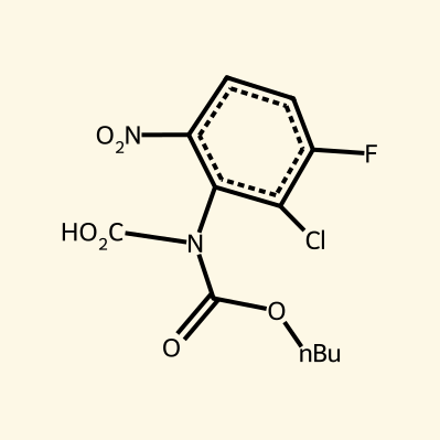 CCCCOC(=O)N(C(=O)O)c1c([N+](=O)[O-])ccc(F)c1Cl